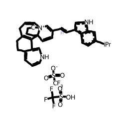 CC(C)c1ccc2c(/C=C/C3=C[N+]45C=CCC6=C(C7=CNC=CC=C7CC6)C4(C=C3)CCCC5)c[nH]c2c1.O=S(=O)(O)C(F)(F)F.O=S(=O)([O-])C(F)(F)F